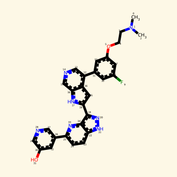 CN(C)CCOc1cc(F)cc(-c2cncc3[nH]c(-c4n[nH]c5ccc(-c6cncc(O)c6)nc45)cc23)c1